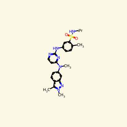 Cc1ccc(Nc2nccc(N(C)c3ccc4c(C)n(C)nc4c3)n2)cc1S(=O)(=O)NC(C)C